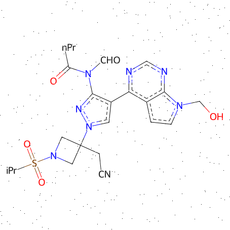 CCCC(=O)N(C=O)c1nn(C2(CC#N)CN(S(=O)(=O)C(C)C)C2)cc1-c1ncnc2c1ccn2CO